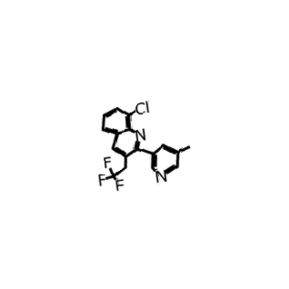 Cc1cncc(-c2nc3c(Cl)cccc3cc2CC(F)(F)F)c1